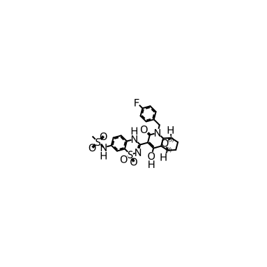 CS(=O)(=O)Nc1ccc2c(c1)S(=O)(=O)N=C(C1=C(O)C3C([C@@H]4CC[C@H]3O4)N(Cc3ccc(F)cc3)C1=O)N2